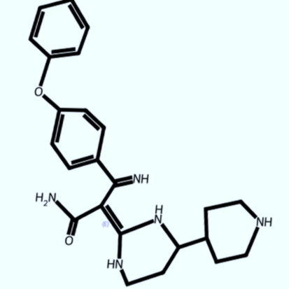 N=C(/C(C(N)=O)=C1/NCCC(C2CCNCC2)N1)c1ccc(Oc2ccccc2)cc1